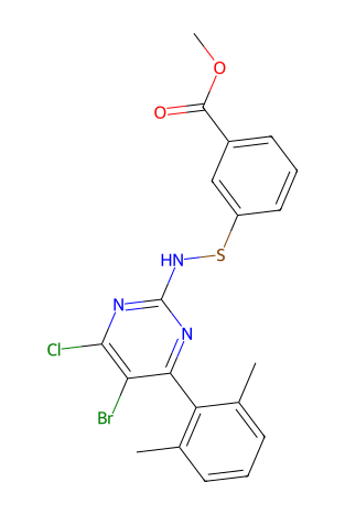 COC(=O)c1cccc(SNc2nc(Cl)c(Br)c(-c3c(C)cccc3C)n2)c1